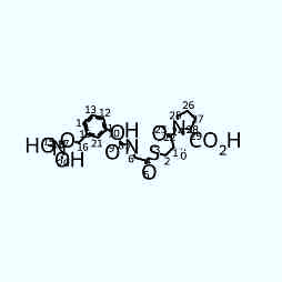 C[C@H](CSC(=O)CNC(=O)Oc1cccc(CON(O)O)c1)C(=O)N1CCC[C@H]1C(=O)O